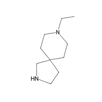 CCN1CCC2(CCNC2)CC1